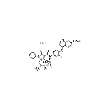 COc1ccc2c(Oc3ccc(NC(=O)c4c(C)n(C[C@H](C)[C@](N)(C(=O)O)C(C)C)n(-c5ccccc5)c4=O)cc3F)ccnc2c1.Cl